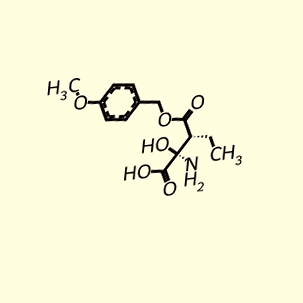 CC[C@@H](C(=O)OCc1ccc(OC)cc1)[C@](N)(O)C(=O)O